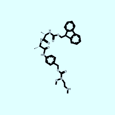 CNCCN(OC)C(=O)OCc1ccc(NC(=O)[C@H](C)NC(=O)[C@H](C)NC(=O)OCC2c3ccccc3-c3ccccc32)cc1